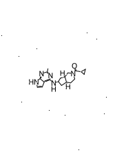 Cc1nc(N[C@@H]2C[C@@H]3CCN(C(=O)C4CC4)C[C@@H]3C2)c2cc[nH]c2n1